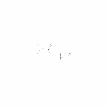 C=CC(C)(CC)SC(=O)N(C)C